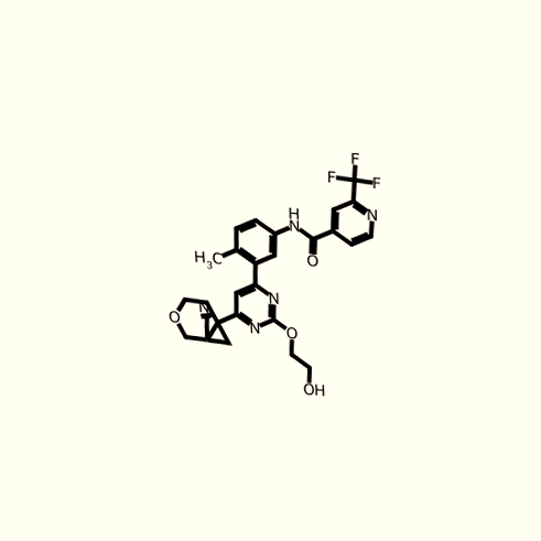 Cc1ccc(NC(=O)c2ccnc(C(F)(F)F)c2)cc1-c1cc(C23CCOCC2(C#N)C3)nc(OCCO)n1